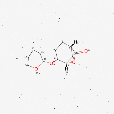 O=C1O[C@H]2C[C@@H]1CC[C@@H]2OC1CCCCO1